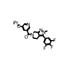 CC(C)Oc1cncc(C(=O)N2CCc3c(nn(C)c3-c3cc(F)c(F)c(F)c3)C2)c1